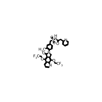 Cc1cc(CS(=O)(=O)NC(=O)Cc2ccccn2)ccc1N1Cc2c(c(OCC(F)(F)F)c3cccnc3c2OCC(F)(F)F)C1=O